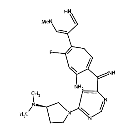 CN/C=C(\C=N)C1=C(F)C=C(N)C(C(=N)c2cc(N3CC[C@@H](N(C)C)C3)ncn2)=CC1